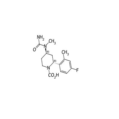 Cc1cc(F)ccc1[C@H]1C[C@H](N(C)C(N)=O)CCN1C(=O)O